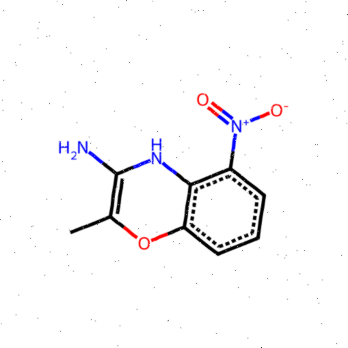 CC1=C(N)Nc2c(cccc2[N+](=O)[O-])O1